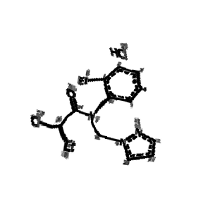 CCc1ccccc1N(Cn1cccn1)C(=O)C(Cl)CC.Cl